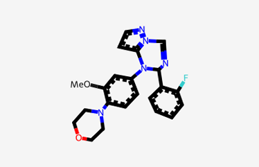 COc1cc(N2c3ccnn3C=NC2c2ccccc2F)ccc1N1CCOCC1